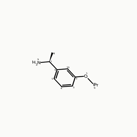 CC(C)Oc1cccc([C@H](C)N)c1